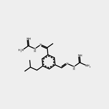 C/C(=N/NC(=N)N)c1cc(/C=N/NC(=N)N)cc(CC(C)C)c1